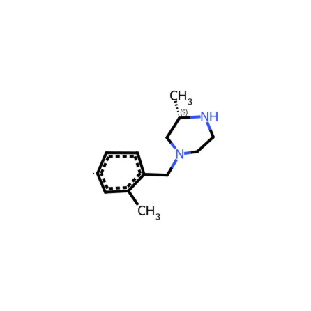 Cc1c[c]ccc1CN1CCN[C@@H](C)C1